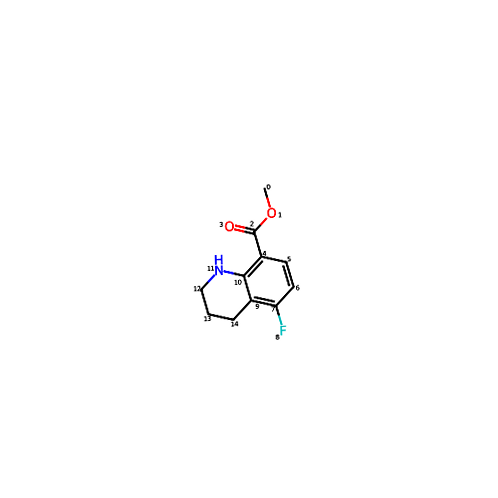 COC(=O)c1ccc(F)c2c1NCCC2